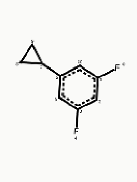 Fc1cc(F)cc([C]2CC2)c1